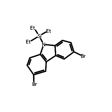 CC[Si](CC)(CC)n1c2ccc(Br)cc2c2cc(Br)ccc21